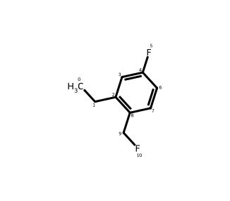 CCc1cc(F)ccc1CF